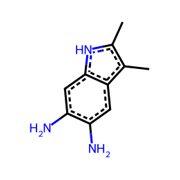 Cc1[nH]c2cc(N)c(N)cc2c1C